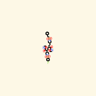 O=C(c1ncco1)C(CCC1CCN(S(=O)(=O)CCc2ccccc2)CC1)CCC(C(=O)c1ncco1)C1CCN(S(=O)(=O)c2ccc(F)cc2)CC1